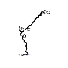 CCCCCCCCC=CCCCCCCCC(=O)OCC(CN(C)C)OC(=O)CCCCCCC/C=C\CCCCCCCC